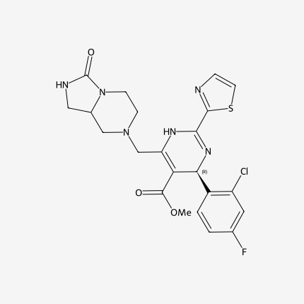 COC(=O)C1=C(CN2CCN3C(=O)NCC3C2)NC(c2nccs2)=N[C@H]1c1ccc(F)cc1Cl